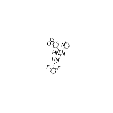 Cc1cccc(-c2nc(CNCCc3c(F)cccc3F)[nH]c2-c2ccc3c(c2)OCO3)n1